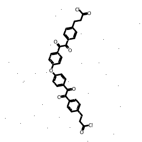 O=C(Cl)CCc1ccc(C(=O)C(=O)c2ccc(Oc3ccc(C(=O)C(=O)c4ccc(CCC(=O)Cl)cc4)cc3)cc2)cc1